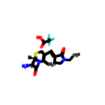 N[C@@H]1C(=O)N2C(C(=O)O)=C(C=C3CCN(CC(=O)O)C3=O)CS[C@H]12.O=C(O)C(F)(F)F